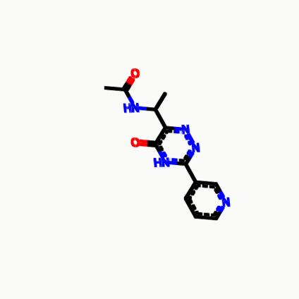 CC(=O)NC(C)c1nnc(-c2cccnc2)[nH]c1=O